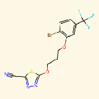 N#Cc1nnc(OCCCOc2cc(C(F)(F)F)ccc2Br)s1